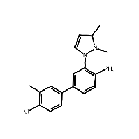 Cc1cc(-c2ccc(P)c(N3C=CC(C)N3C)c2)ccc1Cl